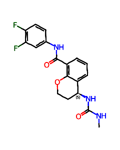 CNC(=O)N[C@H]1CCOc2c(C(=O)Nc3ccc(F)c(F)c3)cccc21